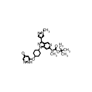 CN(C(=O)OC(C)(C)C)c1cc2c(cn1)c(-c1cnn(C)c1)nn2C1CCC(Oc2cc(=O)cn[nH]2)CC1